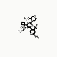 CCS(=O)(=O)C1(c2cc(-c3cnc(N)cc3C(F)(F)F)nc(N3CCOC[C@@H]3C)n2)CCC1